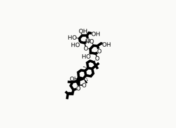 CC(C)=CC1CC(C)(O)C2C3CCC4[C@@]5(C)CC[C@H](O[C@@H]6OC(CO)[C@@H](O)[C@@H](O[C@@H]7OC(CO)[C@@H](O)[C@@H](O)C7O)C6O)C(C)(C)C5CC[C@@]4(C)[C@@]34CO[C@@]2(C4)O1